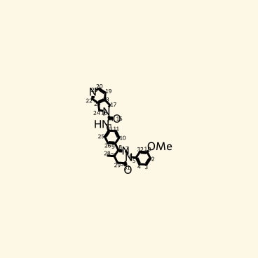 COc1cccc(N2N=C(c3ccc(NC(=O)N4Cc5ccncc5C4)cc3)C(C)CC2=O)c1